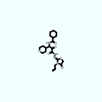 C=CCN1C(=O)CS/C1=N\NC(=O)C(=O)C(NC(=O)C1CCCCC1)C1CCOCC1